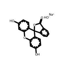 O=C1OC2(c3ccc(O)cc3Oc3cc(O)ccc32)c2ccccc21.[Na+].[OH-]